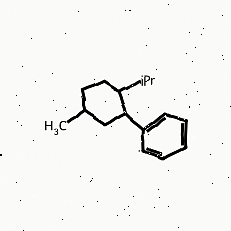 CC1CCC(C(C)C)C(c2[c]cccc2)C1